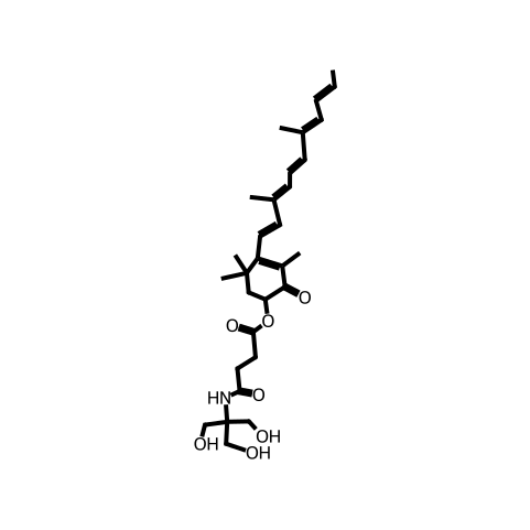 C/C=C/C=C(C)/C=C/C=C(C)/C=C/C1=C(C)C(=O)C(OC(=O)CCC(=O)NC(CO)(CO)CO)CC1(C)C